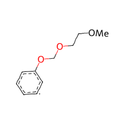 COCCOCOc1c[c]ccc1